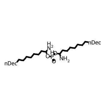 CCCCCCCCCCCCCCCCCC(N)O[PH](=O)OC(N)CCCCCCCCCCCCCCCCC